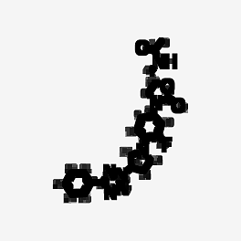 CC(=O)NC[C@H]1CN(c2ccc(N3CCC(n4nnc(-c5ccccc5)n4)C3)c(F)c2)C(=O)O1